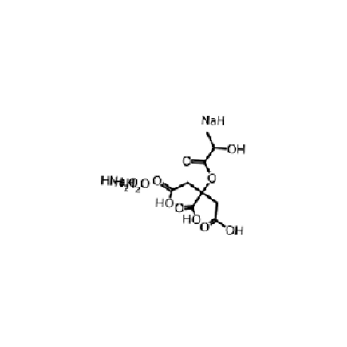 CC(O)C(=O)OC(CC(=O)O)(CC(=O)O)C(=O)O.O.O.[NaH].[NaH]